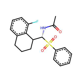 CC(=O)N[C@@H](C1CCCc2cccc(F)c21)S(=O)(=O)c1ccccc1